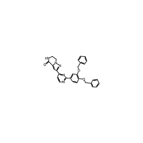 O=C1NCCn2nc(-c3ccnc(-c4ccc(OCc5ccccc5)c(OCc5ccccc5)c4)n3)cc21